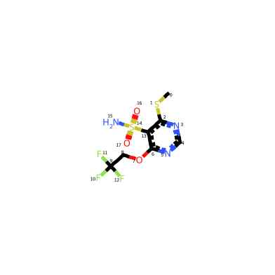 CSc1ncnc(OCC(F)(F)F)c1S(N)(=O)=O